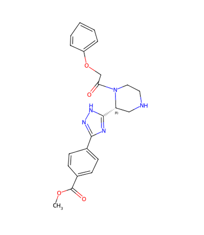 COC(=O)c1ccc(-c2n[nH]c([C@H]3CNCCN3C(=O)COc3ccccc3)n2)cc1